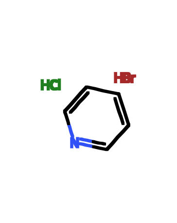 Br.Cl.c1ccncc1